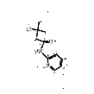 CCC(C)(C)CC(=O)Nc1ccccn1